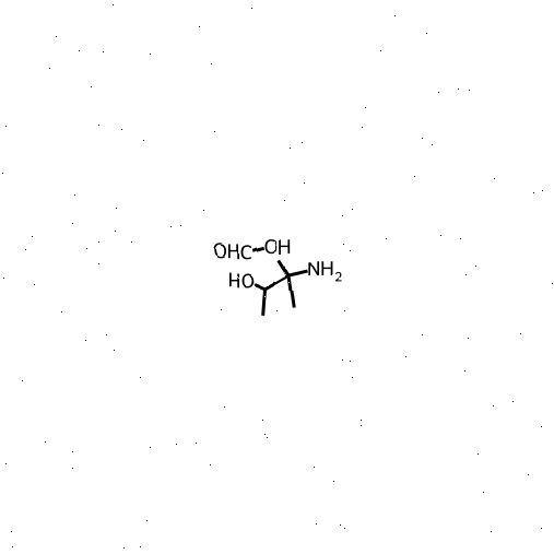 CC(O)C(C)(C)N.O=CO